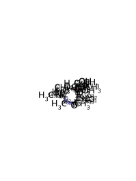 CC[C@H]1OC(=O)C[C@@H](O)[C@H](C)[C@@H](O[C@@H]2O[C@H](C)[C@@H](O)[C@H](N(C)C)[C@H]2O)[C@@H](CCN2Cc3ccccc3C2)C[C@@H](C)C(=O)/C=C/C(C)=C/[C@@H]1CN1CC(C)CC(C)C1